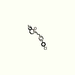 Cn1cc2c(c1)C(=O)N(CCCN1CCN(c3ccc(Cl)cc3)CC1)CC=C2